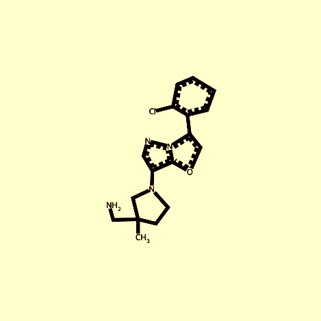 CC1(CN)CCN(c2cnn3c(-c4ccccc4Cl)coc23)C1